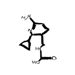 Nc1ccc(CNC(=O)O)c(C2CC2)n1